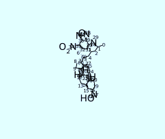 CC(CCC[C@@H](C)[C@H]1CC[C@H]2[C@@H]3CCC4=CC(=NO)CC[C@]4(C)[C@H]3CC[C@]12C)N(C)c1ccc([N+](=O)[O-])c2nonc12